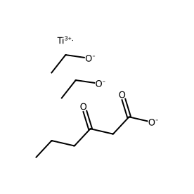 CCCC(=O)CC(=O)[O-].CC[O-].CC[O-].[Ti+3]